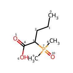 CCCC(C(=O)O)P(C)(C)=O